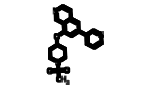 CS(=O)(=O)N1CCC(Oc2cc(-c3cccnc3)cc3ccncc23)CC1